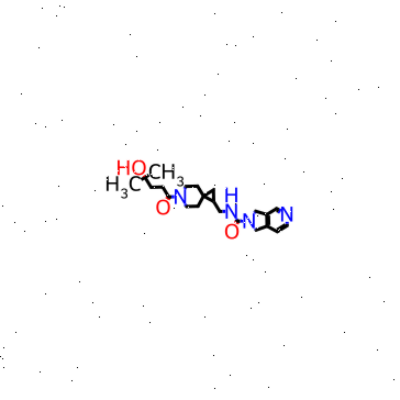 CC(C)(O)CCC(=O)N1CCC2(CC1)CC2CNC(=O)N1Cc2ccncc2C1